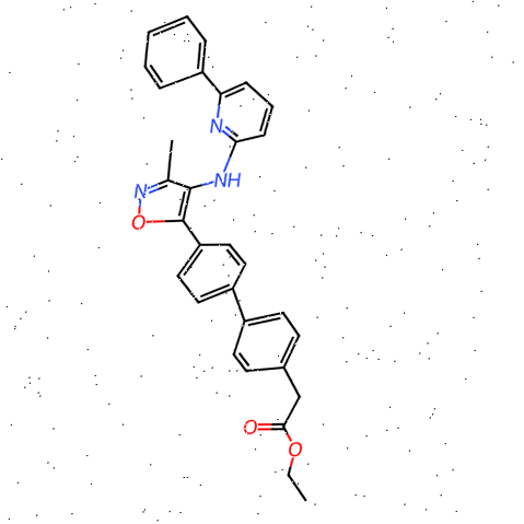 CCOC(=O)Cc1ccc(-c2ccc(-c3onc(C)c3Nc3cccc(-c4ccccc4)n3)cc2)cc1